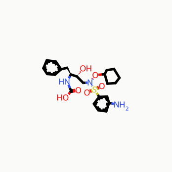 Nc1cccc(S(=O)(=O)N(C[C@@H](O)[C@H](Cc2ccccc2)NC(=O)O)OC2CCCCC2)c1